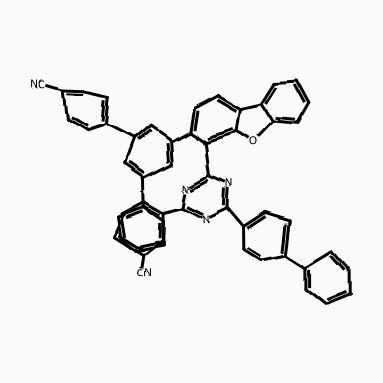 N#Cc1ccc(-c2cc(-c3ccc(C#N)cc3)cc(-c3ccc4c(oc5ccccc54)c3-c3nc(-c4ccccc4)nc(-c4ccc(-c5ccccc5)cc4)n3)c2)cc1